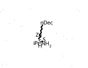 CCCCCCCCCCCCCCCCCC[SH](C(N)=S)C(C)C.[Zn]